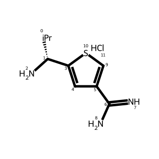 CC(C)[C@@H](N)c1cc(C(=N)N)cs1.Cl